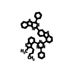 C=C/C=C\c1c(C)sc2cccc(-c3nc(-c4ccccc4)nc(-c4cccc5sc6cc(-c7nc(-c8ccccc8)c8sc9ccccc9c8n7)ccc6c45)n3)c12